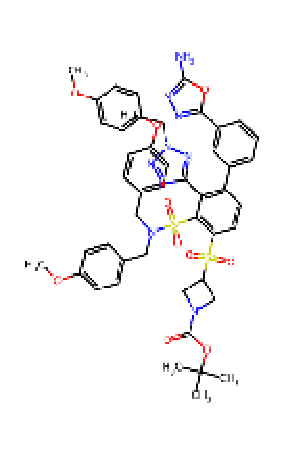 COc1ccc(CN(Cc2ccc(OC)cc2)S(=O)(=O)c2c(S(=O)(=O)C3CN(C(=O)OC(C)(C)C)C3)ccc(-c3cccc(-c4nnc(N)o4)c3)c2-c2nnn(Cc3ccc(OC)cc3)n2)cc1